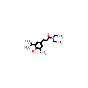 CCN(CC)C(=O)CCc1cc(C)c(O)c(C(C)C)c1